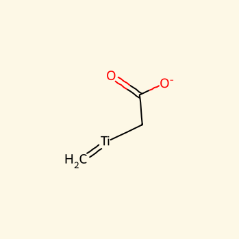 [CH2]=[Ti][CH2]C(=O)[O-]